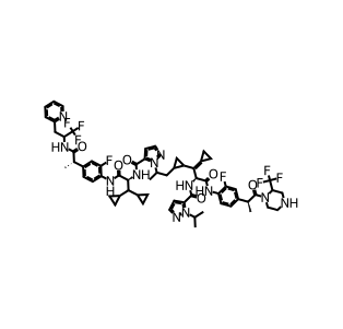 CC(C)n1nccc1C(=O)N[C@H](C(=O)Nc1ccc([C@H](C)C(=O)N2CCNCC2C(F)(F)F)cc1F)C(=C1CC1)C1CC1CC(C)n1nccc1C(=O)N[C@H](C(=O)Nc1ccc([C@H](C)C(=O)NC(Cc2ccccn2)C(F)(F)F)cc1F)C(C1CC1)C1CC1